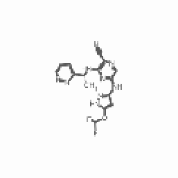 C[C@@H](Nc1nc(Nc2cc(OC(F)F)[nH]n2)cnc1C#N)c1cccnn1